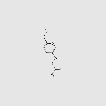 COC(=O)COc1ccc(CC(C)C)cc1